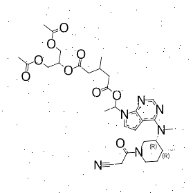 CC(=O)OCC(COC(C)=O)OC(=O)CC(C)CC(=O)OC(C)n1ccc2c(N(C)[C@H]3CN(C(=O)CC#N)CC[C@H]3C)ncnc21